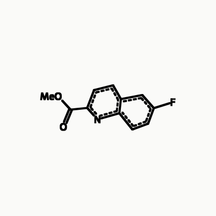 COC(=O)c1ccc2cc(F)ccc2n1